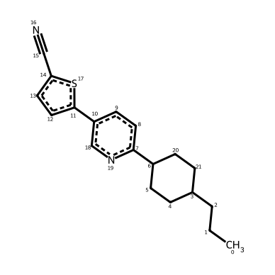 CCCC1CCC(c2ccc(-c3ccc(C#N)s3)cn2)CC1